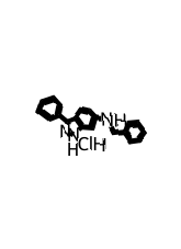 Cl.c1ccc(CNc2ccc3c(-c4ccccc4)n[nH]c3c2)cc1